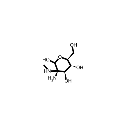 CN[C@]1(N)C(O)O[C@@H](CO)[C@H](O)[C@H]1O